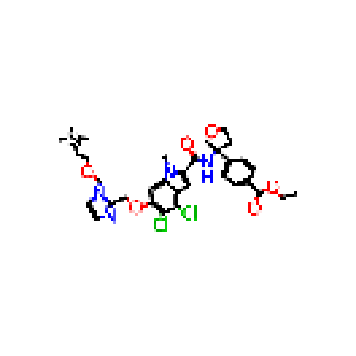 CCOC(=O)c1ccc(C2(NC(=O)c3cc4c(Cl)c(Cl)c(OCc5nccn5COCC[Si](C)(C)C)cc4n3C)CCOC2)cc1